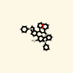 N/C=C(\C=C(c1ccccc1)c1c(-c2cc3c4ccccc4n(-c4ccccc4)c3cc2N)ccc2c1ccn2-c1ccccc1)c1ccccc1